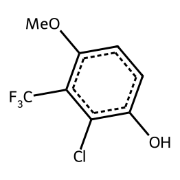 COc1ccc(O)c(Cl)c1C(F)(F)F